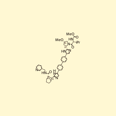 COC(=O)NC(C(=O)N1C[C@@H](OC)C[C@H]1c1ncc(-c2ccc(-c3ccc(-c4cnc([C@H]5C6CCC(C6)[C@@H]5C(=O)NCc5cccnc5)[nH]4)cc3)cc2)[nH]1)C(C)C